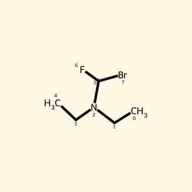 CCN(CC)[C](F)Br